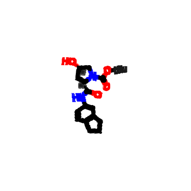 CC(C)(C)OC(=O)N1C[C@@H](O)C[C@H]1C(=O)Nc1ccc2c(c1)CCC2